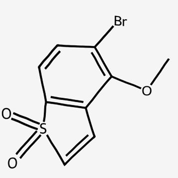 COc1c(Br)ccc2c1C=CS2(=O)=O